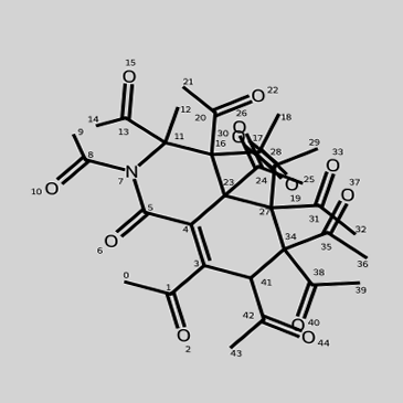 CC(=O)C1=C2C(=O)N(C(C)=O)C(C)(C(C)=O)C(C(C)=O)(C(C)=O)C2(C(C)=O)C(C(C)=O)(C(C)=O)C(C(C)=O)(C(C)=O)C1C(C)=O